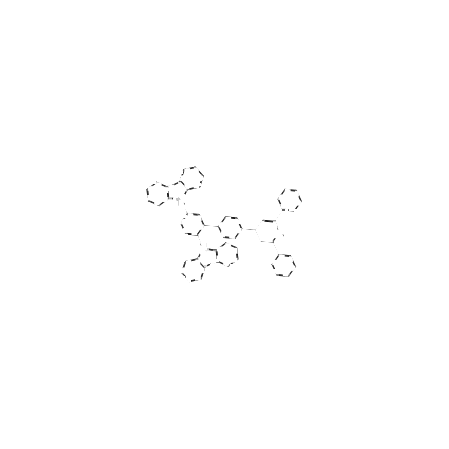 C1=C(c2ccccc2)N=C(c2ccccc2)CC1c1ccc(-c2cc(-n3c4ccccc4c4ccccc43)ccc2-n2c3ccccc3c3ccccc32)cc1